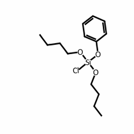 CCCCO[Si](Cl)(OCCCC)Oc1ccccc1